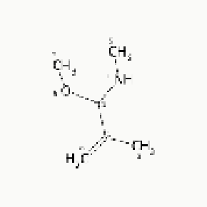 C=C(C)C(NC)OC